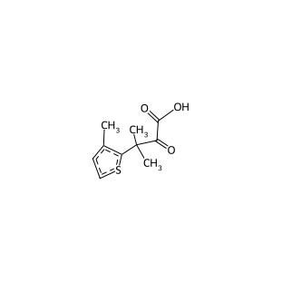 Cc1ccsc1C(C)(C)C(=O)C(=O)O